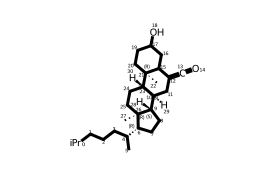 CC(C)CCCC(C)[C@H]1CC[C@H]2[C@@H]3CC(=C=O)C4CC(O)CC[C@]4(C)[C@H]3CC[C@]12C